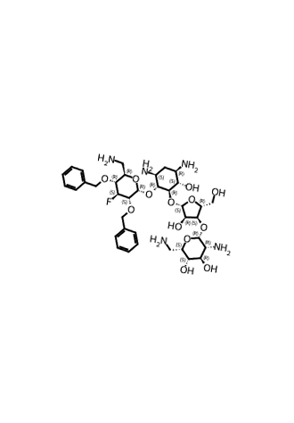 NC[C@@H]1O[C@H](O[C@H]2[C@@H](O)[C@H](O[C@@H]3[C@@H](O)[C@H](N)C[C@H](N)[C@H]3O[C@H]3O[C@H](CN)[C@@H](OCc4ccccc4)[C@H](F)[C@H]3OCc3ccccc3)O[C@@H]2CO)[C@H](N)[C@@H](O)[C@@H]1O